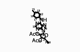 C#CC1OC(n2cnc3c(Nc4ccc(C)cc4)ncnc32)C(OC(C)=O)C1OC(C)=O